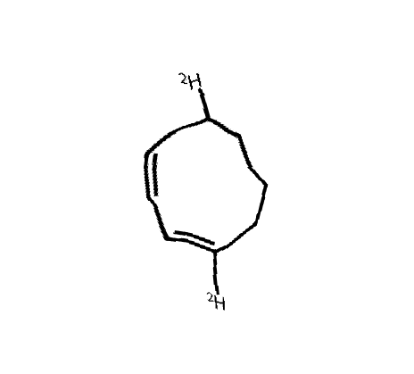 [2H]C1=CC=CC([2H])CCC1